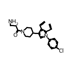 C=Cc1c(C2CCN(C(=O)CCN)CC2)cn(-c2ccc(Cl)cc2)c1C=C